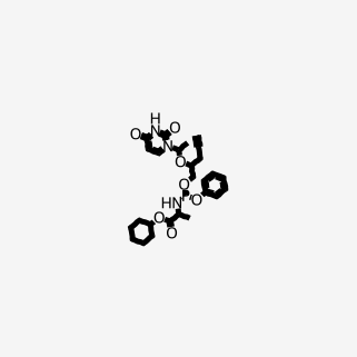 C#CCC(COP(NC(C)C(=O)OC1CCCCC1)Oc1ccccc1)OC(C)n1ccc(=O)[nH]c1=O